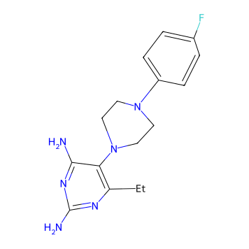 CCc1nc(N)nc(N)c1N1CCN(c2ccc(F)cc2)CC1